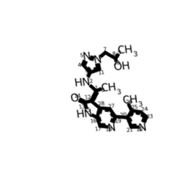 C/C(Nc1cnn(CC(C)O)c1)=C1/C(=O)Nc2cnc(-c3cnccc3C)cc21